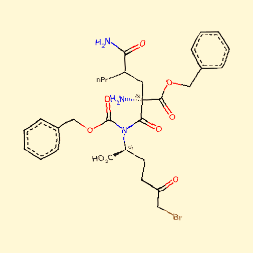 CCCC(C[C@@](N)(C(=O)OCc1ccccc1)C(=O)N(C(=O)OCc1ccccc1)[C@@H](CCC(=O)CBr)C(=O)O)C(N)=O